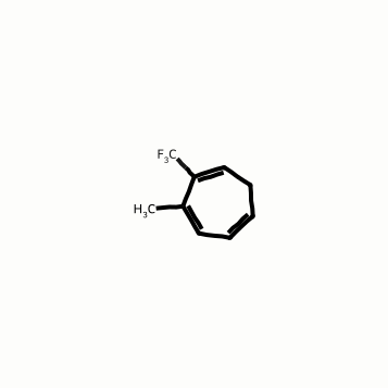 CC1=CC=CCC=C1C(F)(F)F